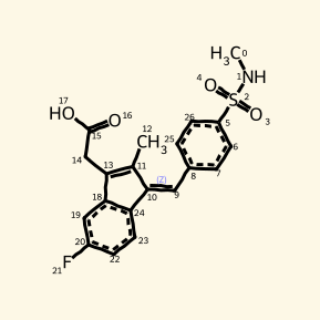 CNS(=O)(=O)c1ccc(/C=C2\C(C)=C(CC(=O)O)c3cc(F)ccc32)cc1